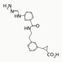 NN=CNc1cccc(C(=O)NCCc2cccc(C3CC3C(=O)O)c2)c1